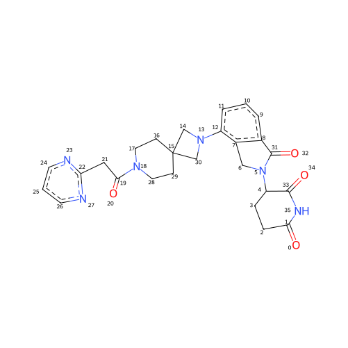 O=C1CCC(N2Cc3c(cccc3N3CC4(CCN(C(=O)Cc5ncccn5)CC4)C3)C2=O)C(=O)N1